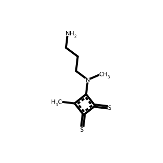 Cc1c(N(C)CCCN)c(=S)c1=S